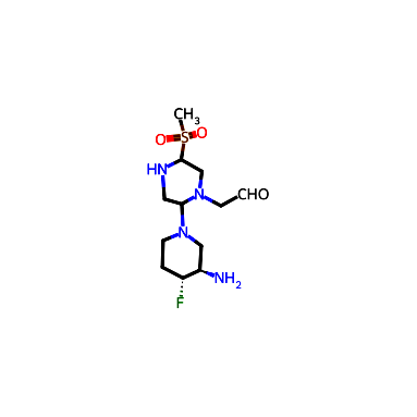 CS(=O)(=O)C1CN(CC=O)C(N2CC[C@@H](F)[C@H](N)C2)CN1